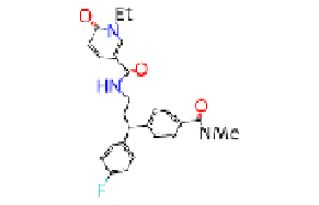 CCn1cc(C(=O)NCCC(c2ccc(F)cc2)c2ccc(C(=O)NC)cc2)ccc1=O